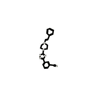 N#Cc1cccc(-c2nsc(N3CCN(C=Cc4ccccc4)CC3)n2)c1